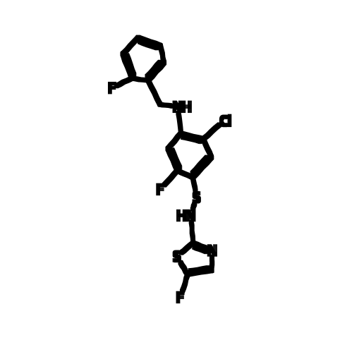 Fc1cnc(NSc2cc(Cl)c(NCc3ccccc3F)cc2F)s1